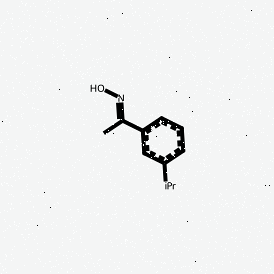 C/C(=N\O)c1cccc(C(C)C)c1